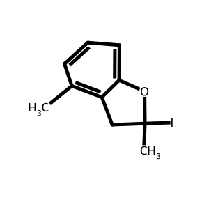 Cc1cccc2c1CC(C)(I)O2